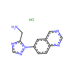 Cl.NCc1ncnn1-c1ccc2ncncc2c1